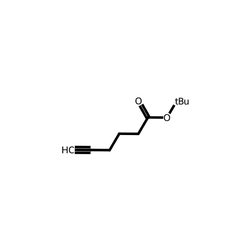 C#CCCCC(=O)OC(C)(C)C